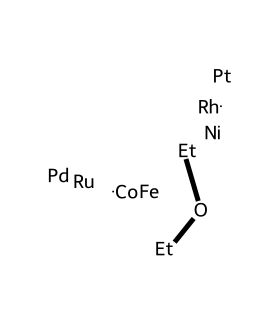 CCOCC.[Co].[Fe].[Ni].[Pd].[Pt].[Rh].[Ru]